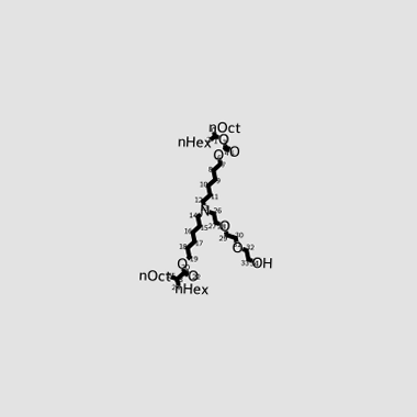 CCCCCCCCC(CCCCCC)OC(=O)OCCCCCCN(CCCCCCOC(=O)C(CCCCCC)CCCCCCCC)CCOCCOCCO